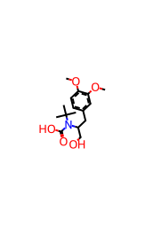 COc1ccc(CC(CO)N(C(=O)O)C(C)(C)C)cc1OC